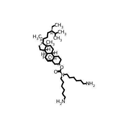 CC[C@H](CC[C@@H](C)[C@H]1CC[C@H]2[C@@H]3CC=C4C[C@@H](OC(=O)N(CCCCCCN)CCCCCCN)CC[C@]4(C)[C@H]3CC[C@]12C)C(C)C